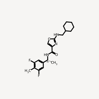 Cc1c(F)cc([C@@H](C)NC(=O)c2coc(NCC3CCCCC3)n2)cc1F